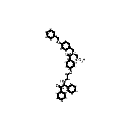 O=C(O)CN(Cc1ccc(OCc2ccccc2)cc1)C(=O)c1ccc(OCCNC(C(=O)c2ccccc2)c2ccccc2)cc1